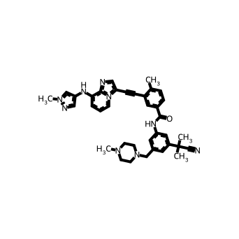 Cc1ccc(C(=O)Nc2cc(CN3CCN(C)CC3)cc(C(C)(C)C#N)c2)cc1C#Cc1cnc2c(Nc3cnn(C)c3)cccn12